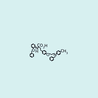 Cc1ccc(N(CCCOc2ccc(CCC(Nc3ccccc3OCc3ccccc3)C(=O)O)cc2)Cc2ccccc2)cc1